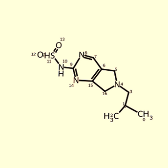 C[C](C)CN1Cc2cnc(N[SH](=O)=O)nc2C1